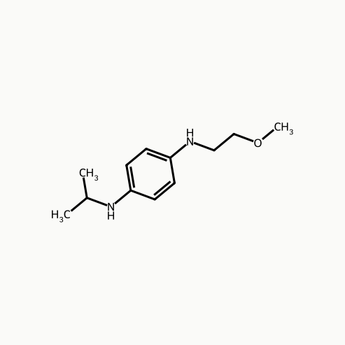 COCCNc1ccc(NC(C)C)cc1